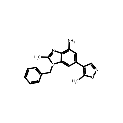 Cc1oncc1-c1cc(N)c2nc(C)n(Cc3ccccc3)c2c1